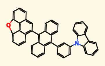 c1cc(-c2c3ccccc3c(-c3cc4cccc5oc6cccc3c6c45)c3ccccc23)cc(-n2c3ccccc3c3ccccc32)c1